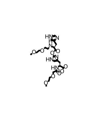 COCCOCCN[C@@H](Cc1c[nH]cn1)C(=O)Oc1nc(C[C@H](NC(=O)COCCOC)C(=O)O)c[nH]1